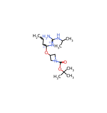 C=C/C=C(\N=C(/N)NC(C)C)OC1CN(C(=O)OC(C)(C)C)C1